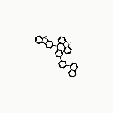 c1cc(-c2ccc(N(c3ccc4c(c3)oc3ccccc34)c3cccc4oc5ccccc5c34)cc2)cc(-c2cccc3ccccc23)c1